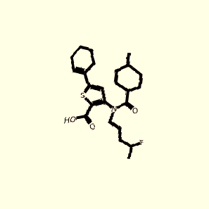 CC(F)CCCN(C(=O)C1CCC(C)CC1)c1cc(C2=CCCCC2)sc1C(=O)O